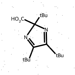 CC(C)(C)C1=NC(C(=O)O)(C(C)(C)C)N=C1C(C)(C)C